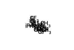 CC[C@@H]1CN(c2nc(=O)n(C)c3c2nc(C)n3C[C@@H]2CCCO2)[C@@H](C)CN1[C@H](c1ccc(C(F)(F)F)cc1)C(C)C